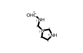 O=[C]NCN1CCNC1